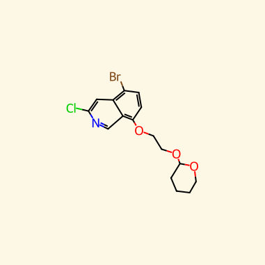 Clc1cc2c(Br)ccc(OCCOC3CCCCO3)c2cn1